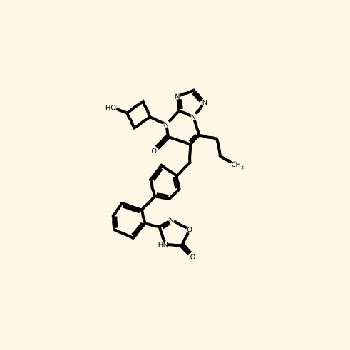 CCCc1c(Cc2ccc(-c3ccccc3-c3noc(=O)[nH]3)cc2)c(=O)n(C2CC(O)C2)c2ncnn12